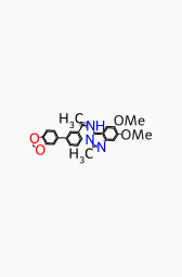 COc1cc2nc(C)nc(N[C@H](C)c3cccc(-c4ccc5c(c4)OCO5)c3)c2cc1OC